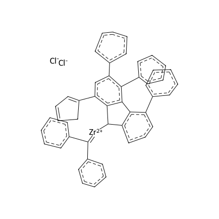 C1=CCC(c2cc(-c3ccccc3)c(-c3ccccc3)c3c2[CH]([Zr+2]=[C](c2ccccc2)c2ccccc2)c2cccc(-c4ccccc4)c2-3)=C1.[Cl-].[Cl-]